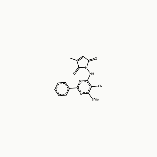 CSc1nc(-c2ccccc2)nc(NN2C(=O)C=C(C)C2=O)c1C#N